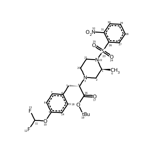 C[C@H]1CN([C@@H](Cc2ccc(OC(F)F)cc2)C(=O)OC(C)(C)C)CCN1S(=O)(=O)c1ccccc1[N+](=O)[O-]